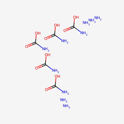 N.N.N.N.N.NC(=O)O.NC(=O)O.NC(=O)O.NC(=O)O.NC(=O)O